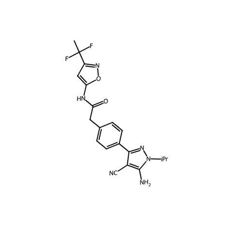 CC(C)n1nc(-c2ccc(CC(=O)Nc3cc(C(C)(F)F)no3)cc2)c(C#N)c1N